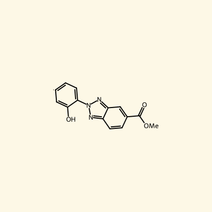 COC(=O)c1ccc2nn(-c3cc[c]cc3O)nc2c1